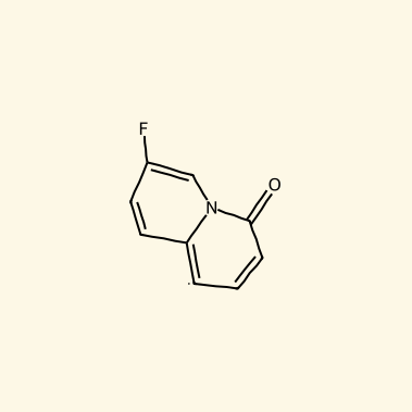 O=c1cc[c]c2ccc(F)cn12